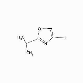 CC(C)c1nc(I)co1